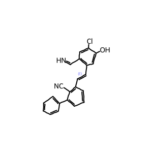 N#Cc1c(/C=C/c2cc(O)c(Cl)cc2C=N)cccc1-c1ccccc1